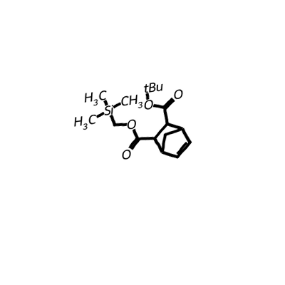 CC(C)(C)OC(=O)C1C2C=CC(C2)C1C(=O)OC[Si](C)(C)C